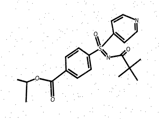 CC(C)OC(=O)c1ccc(S(=O)(=NC(=O)C(C)(C)C)c2ccncc2)cc1